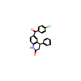 O=C1CC(c2ccccc2)c2cc(C(=O)c3ccc(Cl)cc3)ccc2N1